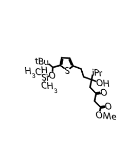 COC(=O)CC(=O)CC(O)(CCc1ccc(C(O[SiH](C)C)C(C)(C)C)s1)C(C)C